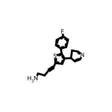 NCCC#Cc1cc(C2C=CN=CC2)c(-c2ccc(F)cc2)s1